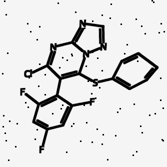 Fc1cc(F)c(-c2c(Cl)nc3ncnn3c2Sc2ccccc2)c(F)c1